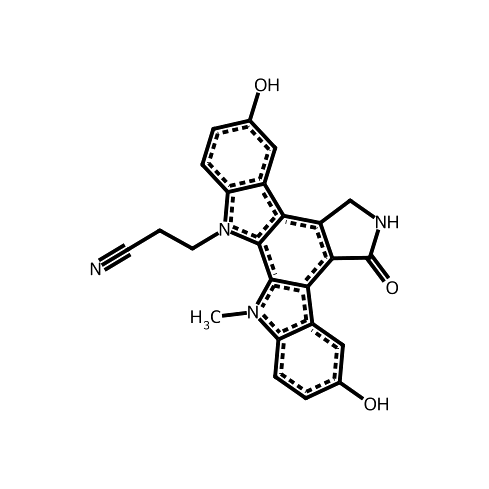 Cn1c2ccc(O)cc2c2c3c(c4c5cc(O)ccc5n(CCC#N)c4c21)CNC3=O